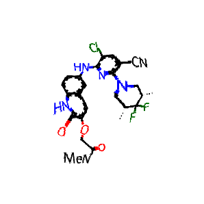 CNC(=O)COc1cc2cc(Nc3nc(N4C[C@@H](C)C(F)(F)[C@@H](C)C4)c(C#N)cc3Cl)ccc2[nH]c1=O